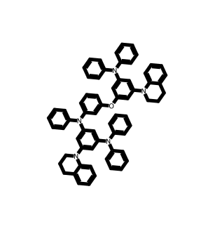 c1ccc(N(c2ccccc2)c2cc(Oc3cccc(N(c4ccccc4)c4cc(N5CCCc6ccccc65)cc(N(c5ccccc5)c5ccccc5)c4)c3)cc(N3CCCc4ccccc43)c2)cc1